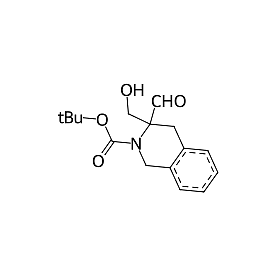 CC(C)(C)OC(=O)N1Cc2ccccc2CC1(C=O)CO